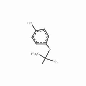 CCCCC(C)(Sc1ccc(O)cc1)C(=O)O